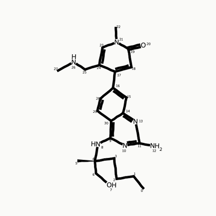 CCCC[C@](C)(CO)Nc1nc(N)nc2cc(-c3cc(=O)n(C)cc3CNC)ccc12